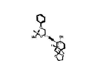 CC(C)(C)[Si](C)(C)O[C@@H](C#C[C@H]1[C@H](O)CC[C@@]2(C)[C@@H]1CC21OCCO1)COc1ccccc1